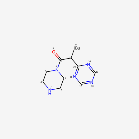 CCC(C)C(C(=O)N1CCNCC1)c1ncncn1